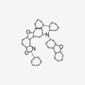 c1ccc(-c2nc3c(ccc4oc5ccc(N(c6ccc7c(c6)oc6ccccc67)c6ccccc6-c6ccccc6)cc5c43)o2)cc1